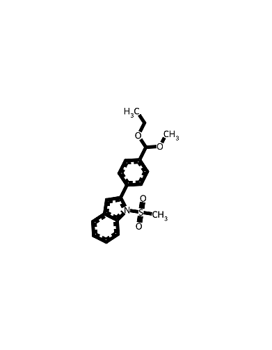 CCOC(OC)c1ccc(-c2cc3ccccc3n2S(C)(=O)=O)cc1